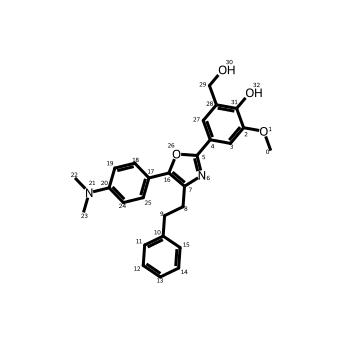 COc1cc(-c2nc(CCc3ccccc3)c(-c3ccc(N(C)C)cc3)o2)cc(CO)c1O